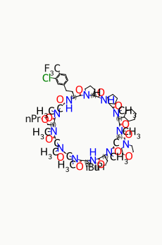 CCCOC[C@H]1C(=O)N(C)CC(=O)N[C@@H](CCc2ccc(C(F)(F)F)c(Cl)c2)C(=O)N2CCC[C@H]2C(=O)NC2(CCCC2)C(=O)N(C)[C@@H](C2CCCCC2)C(=O)N(C)[C@H](C(=O)N2CCOCC2)CC(=O)N(C)[C@@H](CC(C)C)C(=O)N[C@@H]([C@@H](C)CC)C(=O)N(C)CC(=O)N(C)CC(=O)N1C